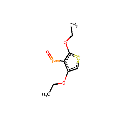 CCOc1csc(OCC)c1P=O